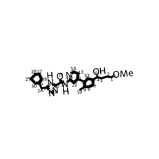 COCCCC(O)c1ccc(C)c(-c2ccnc(NC(=O)c3nnc(Cc4ccccc4)[nH]3)c2)c1